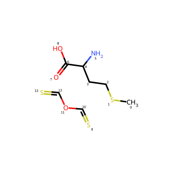 CSCCC(N)C(=O)O.S=COC=S